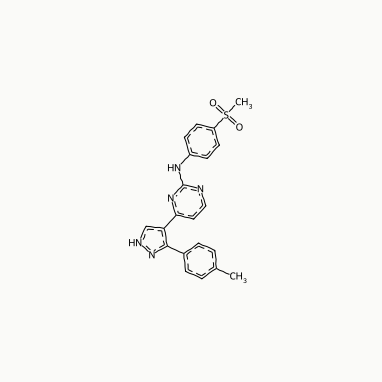 Cc1ccc(-c2n[nH]cc2-c2ccnc(Nc3ccc(S(C)(=O)=O)cc3)n2)cc1